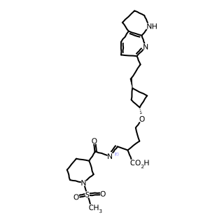 CS(=O)(=O)N1CCCC(C(=O)/N=C/C(CCO[C@H]2C[C@H](CCc3ccc4c(n3)NCCC4)C2)C(=O)O)C1